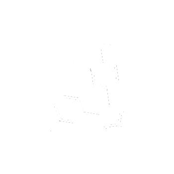 COc1ccc(-c2n[nH]nc2-c2cccc(Cl)c2)cc1F